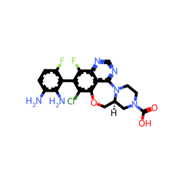 Nc1ccc(F)c(-c2c(Cl)c3c4c(ncnc4c2F)N2CCN(C(=O)O)C[C@H]2CO3)c1N